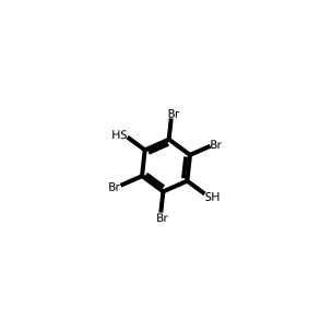 Sc1c(Br)c(Br)c(S)c(Br)c1Br